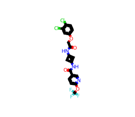 O=C(COc1ccc(Cl)c(Cl)c1)NC12CC(NC(=O)c3ccc(OC(F)(F)F)nc3)(C1)C2